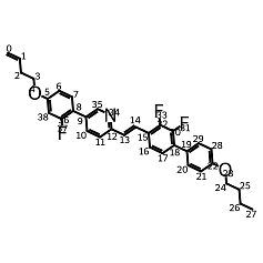 C=CCCOc1ccc(-c2ccc(/C=C/c3ccc(-c4ccc(OCCCC)cc4)c(F)c3F)nc2)c(F)c1